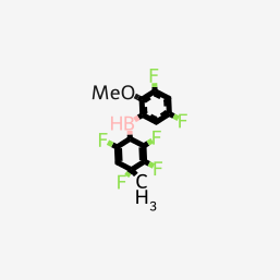 COc1c(F)cc(F)cc1BC1C(F)=CC(C)(F)C(F)=C1F